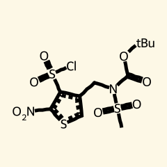 CC(C)(C)OC(=O)N(Cc1csc([N+](=O)[O-])c1S(=O)(=O)Cl)S(C)(=O)=O